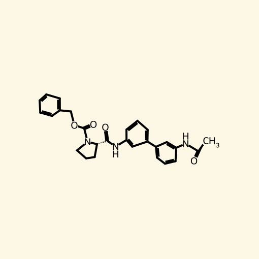 CC(=O)Nc1cccc(-c2cccc(NC(=O)[C@@H]3CCCN3C(=O)OCc3ccccc3)c2)c1